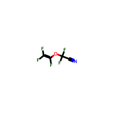 N#CC(F)(F)OC(F)=C(F)F